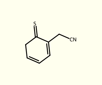 N#CCC1=CC=CCC1=S